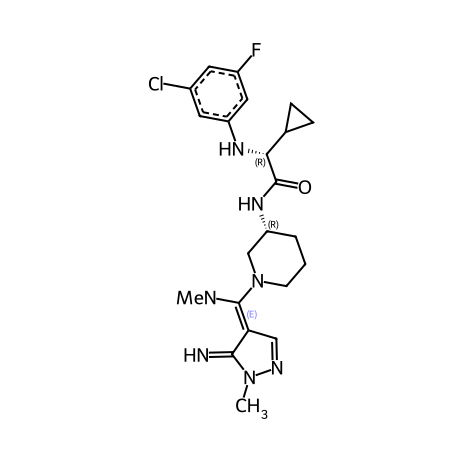 CN/C(=C1/C=NN(C)C1=N)N1CCC[C@@H](NC(=O)[C@H](Nc2cc(F)cc(Cl)c2)C2CC2)C1